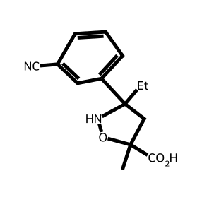 CCC1(c2cccc(C#N)c2)CC(C)(C(=O)O)ON1